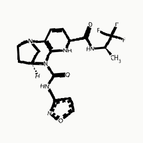 C[C@@H](NC(=O)C1C=CC2=C(N1)N(C(=O)Nc1ccon1)[C@H]1CCN2C1)C(F)(F)F